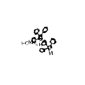 Cl.N.c1ccc(-c2c[pH]c(-c3ccccc3)c2-c2ccccc2)cc1.c1ccc(-c2c[pH]c(-c3ccccc3)c2-c2ccccc2)cc1